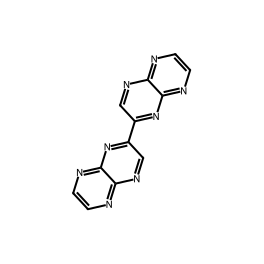 c1cnc2nc(-c3cnc4nccnc4n3)cnc2n1